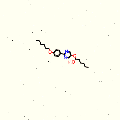 CCCCCCOc1ccc(-c2ncc(OC(O)CCCCC)cn2)cc1